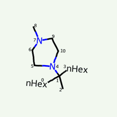 CCCCCCC(C)(CCCCCC)N1CCN(C)CC1